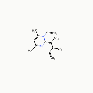 C=CC(C)/C(C)=C1\N=C(C)C=C(C)N1C=C